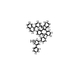 C1=C(c2cccc(N3c4ccccc4-c4c(n(-c5cccc(-c6cccc7ccccc67)c5)c5ccccc45)-c4ccccc43)c2)C=C(c2ccccc2)CN1